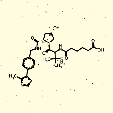 Cc1ncsc1-c1ccc(CNC(=O)[C@@H]2C[C@H](O)CN2C(=O)C(NC(=O)CCCCC(=O)O)C(C)(C)C)cc1